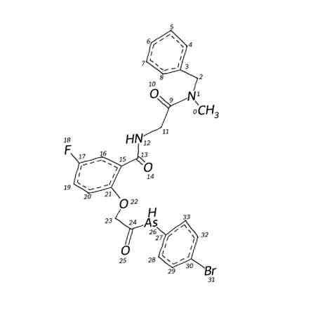 CN(Cc1ccccc1)C(=O)CNC(=O)c1cc(F)ccc1OCC(=O)[AsH]c1ccc(Br)cc1